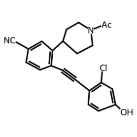 CC(=O)N1CCC(c2cc(C#N)ccc2C#Cc2ccc(O)cc2Cl)CC1